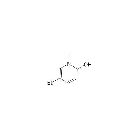 CCC1=CN(C)C(O)C=C1